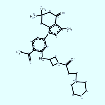 Cc1nn(-c2ccc(C(N)=O)c(NC3CN(C(=O)CCN4CCOCC4)C3)c2)c2c1C(=O)CC(C)(C)C2